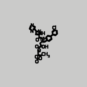 Cc1oc(=O)oc1COC(=O)[C@@H](O)C[C@H](Cc1ccc(-c2cccc(Cl)c2)cc1)NC(=O)c1cc(-c2cnccn2)n[nH]1